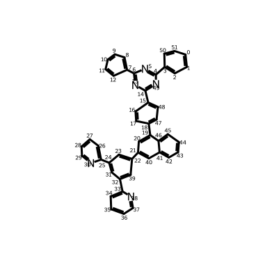 c1ccc(-c2nc(-c3ccccc3)nc(-c3ccc(-c4cc(-c5cc(-c6ccccn6)cc(-c6ccccn6)c5)cc5ccccc45)cc3)n2)cc1